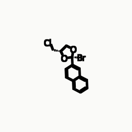 ClC[C@@H]1CO[C@@](Br)(c2ccc3ccccc3c2)O1